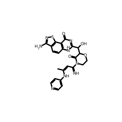 C/C(=C/C(=N)N1CCOC(C(O)c2nc(=O)c3c(ccc4c(N)nsc43)[nH]2)C1=O)Nc1ccncc1